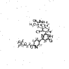 CC(C)(Cc1ccc(F)c(-c2nc(-c3ccc(OCCOCC(F)(F)F)nc3)cc(=O)[nH]2)c1Cl)C(N)=O